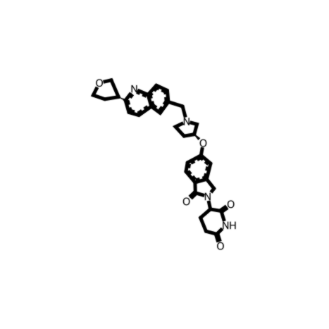 O=C1CCC(N2Cc3cc(O[C@H]4CCN(Cc5ccc6nc([C@@H]7CCOC7)ccc6c5)C4)ccc3C2=O)C(=O)N1